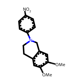 COc1cc2c(cc1OC)CN(c1ccc([N+](=O)[O-])cc1)CC2